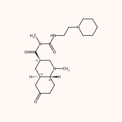 CN(C(=O)NCCN1CCCCC1)C(=O)[C@@H]1C[C@@H]2CC(=O)CC[C@H]2N(C)C1